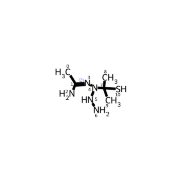 C/C(N)=N/N(NN)C(C)(C)S